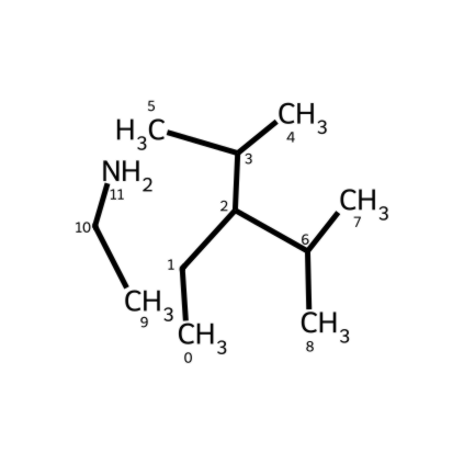 CCC(C(C)C)C(C)C.CCN